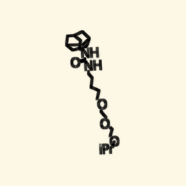 CC(C)OCCOCCOCCCCCNC(=O)NC12CC3CC(CC(C3)C1)C2